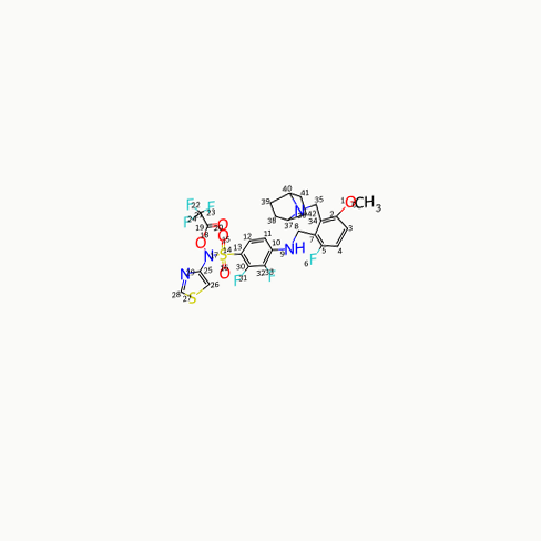 COc1ccc(F)c(CNc2ccc(S(=O)(=O)N(OC(=O)C(F)(F)F)c3cscn3)c(F)c2F)c1CN1C2CCC1CC2